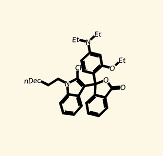 CCCCCCCCCCCCn1c(C)c(C2(c3ccc(N(CC)CC)cc3OCC)OC(=O)c3ccccc32)c2ccccc21